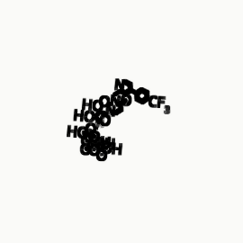 O=c1ccn([C@@H]2O[C@H](COP(=O)(O)OP(=O)(O)OP(=O)(O)O)C(O)C2O)c(=O)n1Cc1cc(-c2ccc(C(F)(F)F)cc2)ccn1